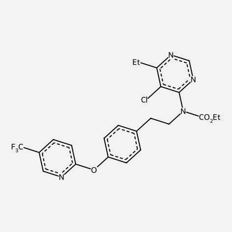 CCOC(=O)N(CCc1ccc(Oc2ccc(C(F)(F)F)cn2)cc1)c1ncnc(CC)c1Cl